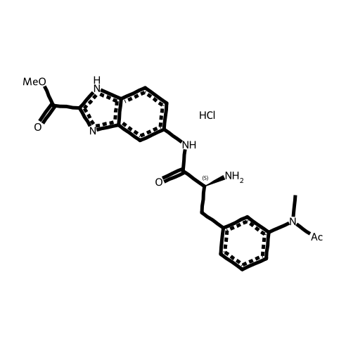 COC(=O)c1nc2cc(NC(=O)[C@@H](N)Cc3cccc(N(C)C(C)=O)c3)ccc2[nH]1.Cl